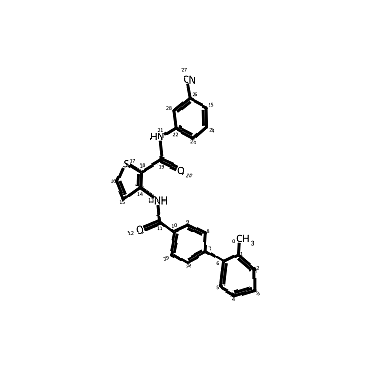 Cc1ccccc1-c1ccc(C(=O)Nc2ccsc2C(=O)Nc2cccc(C#N)c2)cc1